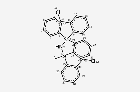 C[Si](N[Si](C)(c1ccccc1)c1ccccc1CCl)(c1ccccc1)c1ccccc1CCl